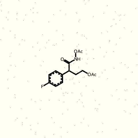 CC(=O)OCCC(C(=O)NOC(C)=O)c1ccc(F)cc1